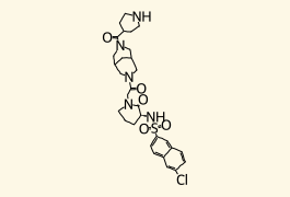 O=C(CN1CCC[C@H](NS(=O)(=O)c2ccc3cc(Cl)ccc3c2)C1=O)N1CC2CC(C1)CN(C(=O)C1CCNCC1)C2